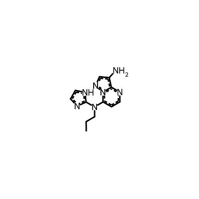 CCCN(c1ncc[nH]1)c1ccnc2c(N)cnn12